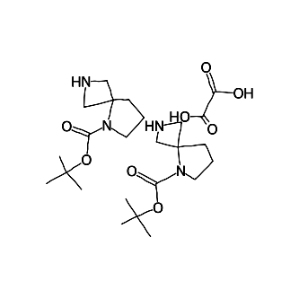 CC(C)(C)OC(=O)N1CCCC12CNC2.CC(C)(C)OC(=O)N1CCCC12CNC2.O=C(O)C(=O)O